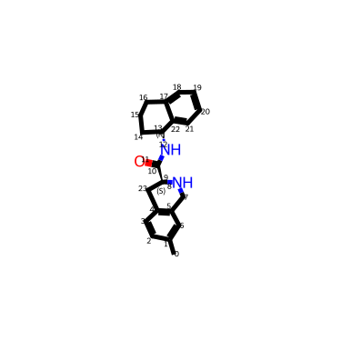 Cc1ccc2c(c1)CN[C@H](C(=O)N[C@@H]1CCCc3ccccc31)C2